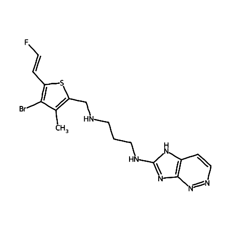 Cc1c(CNCCCNc2nc3nnccc3[nH]2)sc(C=CF)c1Br